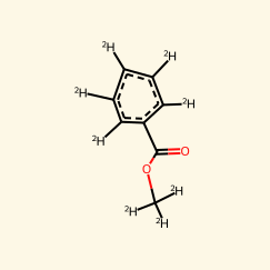 [2H]c1c([2H])c([2H])c(C(=O)OC([2H])([2H])[2H])c([2H])c1[2H]